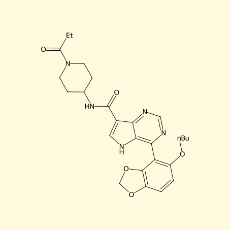 CCCCOc1ccc2c(c1-c1ncnc3c(C(=O)NC4CCN(C(=O)CC)CC4)c[nH]c13)OCO2